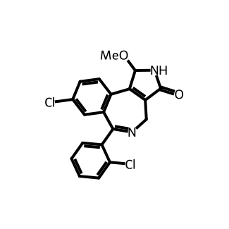 COC1NC(=O)C2=C1c1ccc(Cl)cc1C(c1ccccc1Cl)=NC2